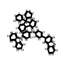 c1ccc(C2(c3ccccc3)c3ccccc3-c3c(N(c4ccc(-c5ccc6sc7ccccc7c6c5)cc4)c4ccc(-n5c6ccccc6c6ccccc65)cc4)cccc32)cc1